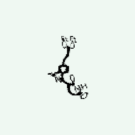 CCOC(CCc1ccc2c(C3CCC(=O)NC3=O)nn(C)c2c1)OCC